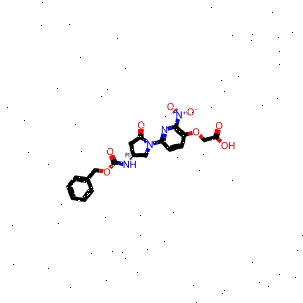 O=C(O)COc1ccc(N2C[C@H](NC(=O)OCc3ccccc3)CC2=O)nc1[N+](=O)[O-]